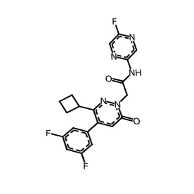 O=C(Cn1nc(C2CCC2)c(-c2cc(F)cc(F)c2)cc1=O)Nc1cnc(F)cn1